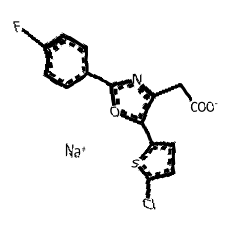 O=C([O-])Cc1nc(-c2ccc(F)cc2)oc1-c1ccc(Cl)s1.[Na+]